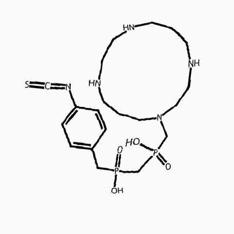 O=P(O)(Cc1ccc(N=C=S)cc1)CP(=O)(O)CN1CCCNCCNCCCNCC1